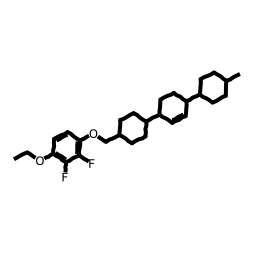 CCOc1ccc(OCC2CCC(C3C=CC(C4CCC(C)CC4)CC3)CC2)c(F)c1F